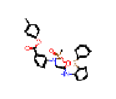 Cc1ccc(OC(=O)c2cccc(N(CC(=O)Nc3ccccc3Sc3ccccc3)S(C)(=O)=O)c2)cc1